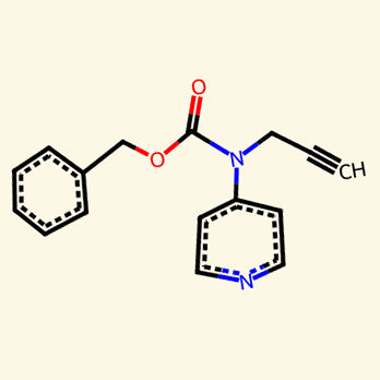 C#CCN(C(=O)OCc1ccccc1)c1ccncc1